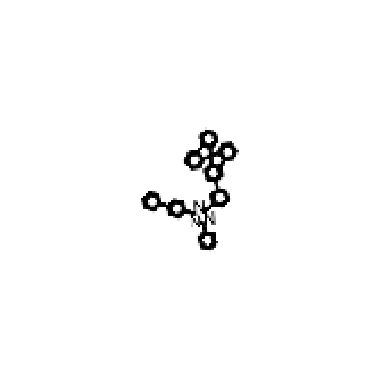 c1ccc(-c2ccc(-c3nc(-c4ccccc4)nc(-c4cccc(-c5ccc6c(c5)-c5ccccc5C65c6ccccc6-c6ccccc65)c4)n3)cc2)cc1